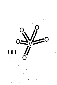 [LiH].[O]=[V](=[O])(=[O])(=[O])=[O]